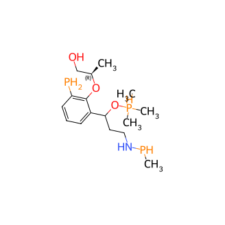 CPNCCC(O[PH](C)(C)C)c1cccc(P)c1O[C@H](C)CO